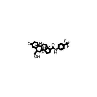 C[C@]12CCC(=O)C=C1C(CO)C[C@@H]1[C@H]2CC[C@]2(C)C(C(=O)Nc3ccc(C(F)(F)F)cc3)CC[C@@H]12